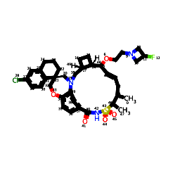 CC1C/C=C/C(OCCN2CC(F)C2)[C@@H]2CC[C@H]2CN2C[C@@]3(CCCc4cc(Cl)ccc43)COc3ccc(cc32)C(=O)NS(=O)(=O)C1C